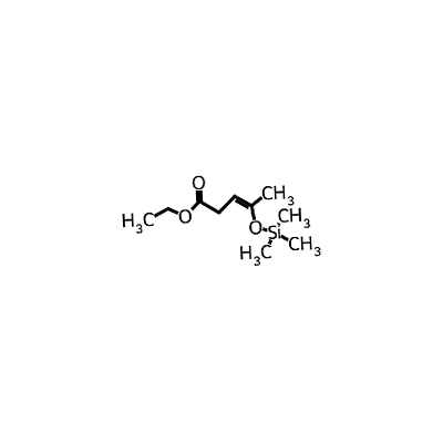 CCOC(=O)CC=C(C)O[Si](C)(C)C